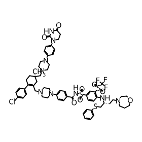 C[C@@]1(CN2CCN(c3ccc(N4CCC(=O)NC4=O)cc3)CC2)CCC(c2ccc(Cl)cc2)=C(CN2CCN(c3ccc(C(=O)NS(=O)(=O)c4ccc(N[C@H](CCN5CCCOCC5)CSc5ccccc5)c(S(=O)(=O)C(F)(F)F)c4)cc3)CC2)C1